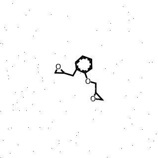 c1ccc(OCC2CO2)c(CC2CO2)c1